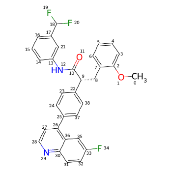 COc1ccccc1C[C@@H](C(=O)Nc1cccc(C(F)F)c1)c1ccc(-c2ccnc3ccc(F)cc23)cc1